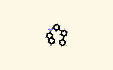 c1ccc(-c2cccc(-c3cccc(Nc4ccc5ccccc5c4)c3)c2)cc1